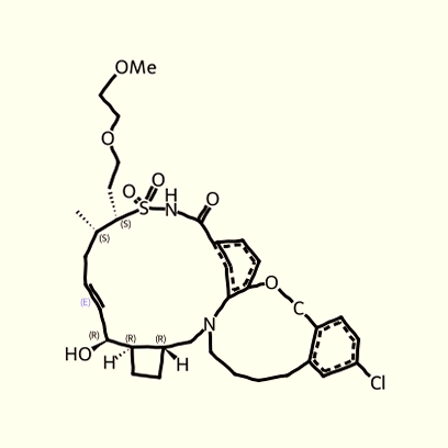 COCCOCC[C@H]1[C@@H](C)C/C=C/[C@H](O)[C@@H]2CC[C@H]2CN2CCCCc3cc(Cl)ccc3COc3ccc(cc32)C(=O)NS1(=O)=O